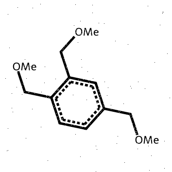 COCc1ccc(COC)c(COC)c1